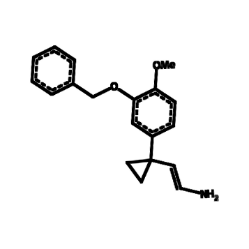 COc1ccc(C2(C=CN)CC2)cc1OCc1ccccc1